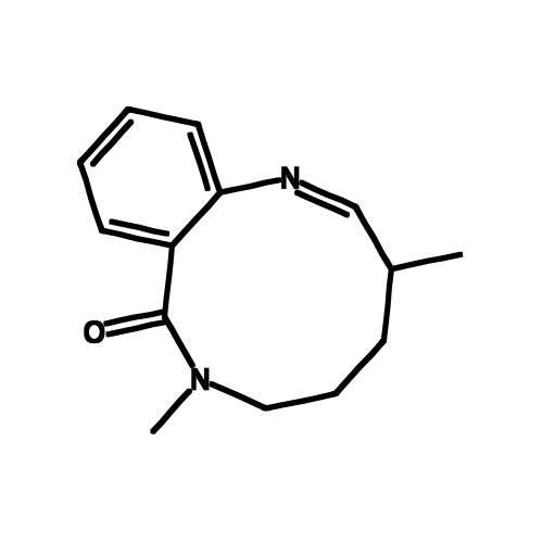 CC1/C=N\c2ccccc2C(=O)N(C)CCC1